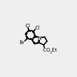 CCOC(=O)C1CCn2c1cc1c(Br)cc(Cl)c(Cl)c12